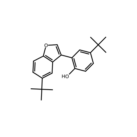 CC(C)(C)c1ccc(O)c(-c2coc3ccc(C(C)(C)C)cc23)c1